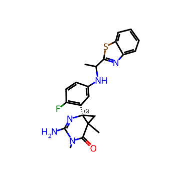 CC(Nc1ccc(F)c([C@]23CC2(C)C(=O)N(C)C(N)=N3)c1)c1nc2ccccc2s1